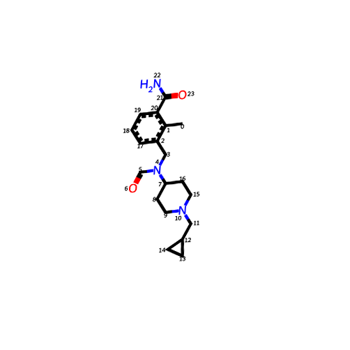 Cc1c(CN(C=O)C2CCN(CC3CC3)CC2)cccc1C(N)=O